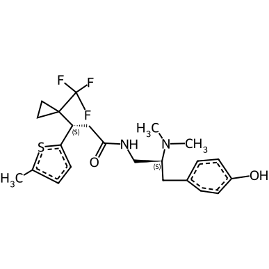 Cc1ccc([C@@H](CC(=O)NC[C@H](Cc2ccc(O)cc2)N(C)C)C2(C(F)(F)F)CC2)s1